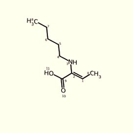 CC=C(NCCCCC)C(=O)O